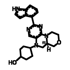 OC1CCC(N2C[C@@H]3COCCN3c3nc(-c4cccc5[nH]ccc45)ncc32)CC1